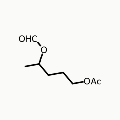 CC(=O)OCCCC(C)OC=O